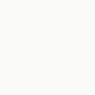 CC(C)O[SH](=O)=O.[Ag]